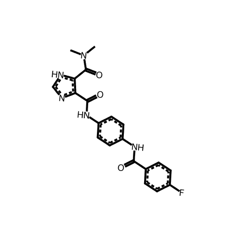 CN(C)C(=O)c1[nH]cnc1C(=O)Nc1ccc(NC(=O)c2ccc(F)cc2)cc1